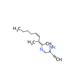 C#CC(=N)\C=N/C(C)=C(C)/C=C\CCCC